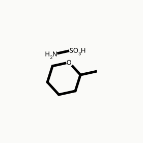 CC1CCCCO1.NS(=O)(=O)O